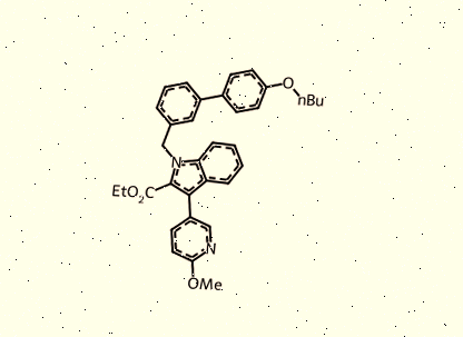 CCCCOc1ccc(-c2cccc(Cn3c(C(=O)OCC)c(-c4ccc(OC)nc4)c4ccccc43)c2)cc1